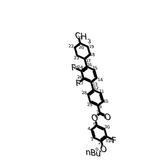 CCCCOc1ccc(OC(=O)c2ccc(-c3ccc(C4CCC(C)CC4)c(F)c3F)cc2)cc1F